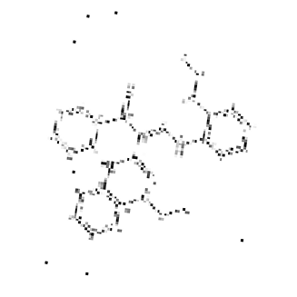 CCOc1ccccc1NC=C(C(=O)Nc1ccccc1OCC)C(=O)c1ccccc1